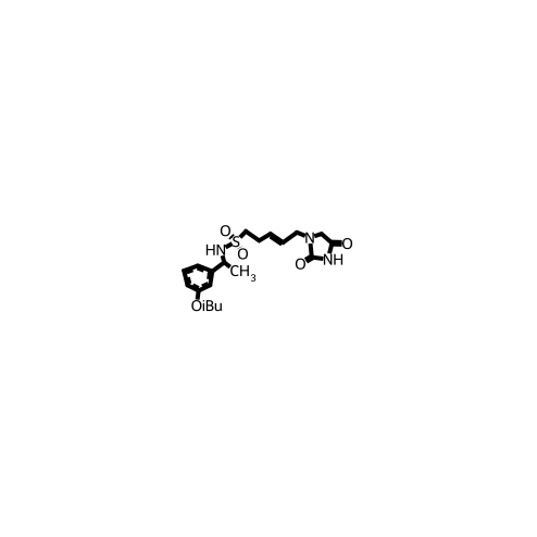 CC(C)COc1cccc(C(C)NS(=O)(=O)CCC=CCN2CC(=O)NC2=O)c1